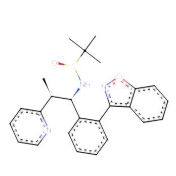 C[C@H](c1ccccn1)[C@@H](N[S@@+]([O-])C(C)(C)C)c1ccccc1-c1noc2ccccc12